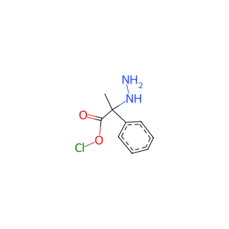 CC(NN)(C(=O)OCl)c1ccccc1